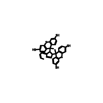 C/C=C\C=C1/C=CC(C2(C)c3ccc(S)cc3Sc3cc(S)ccc32)C1C1(C)c2ccc(S)cc2Sc2cc(S)ccc21